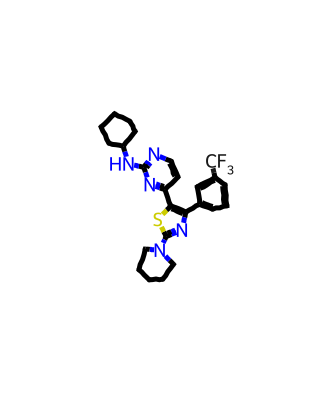 FC(F)(F)c1cccc(-c2nc(N3CCCCC3)sc2-c2ccnc(NC3CCCCC3)n2)c1